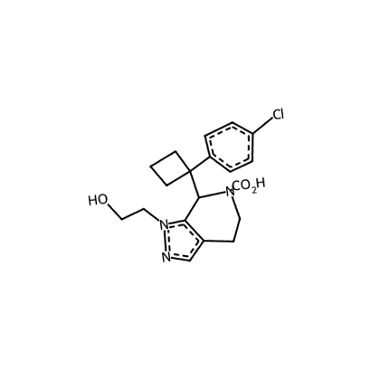 O=C(O)N1CCc2cnn(CCO)c2C1C1(c2ccc(Cl)cc2)CCC1